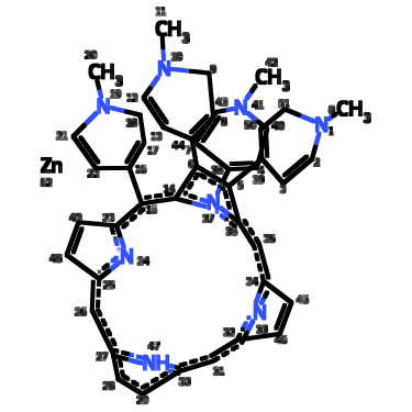 CN1C=CC(c2c(C3=CCN(C)C=C3)c3c(C4=CCN(C)C=C4)c4nc(cc5ccc(cc6nc(cc2n3C2=CCN(C)C=C2)C=C6)[nH]5)C=C4)=CC1.[Zn]